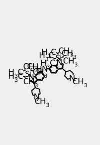 CC(C)[Si](C(C)C)(C(C)C)n1cc(C2CCN(C)CC2)c2ccc(Nc3ccc4c(C5CCN(C)CC5)cn([Si](C(C)C)(C(C)C)C(C)C)c4c3)cc21